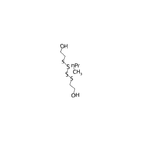 CCCC.OCCSSSSCCO